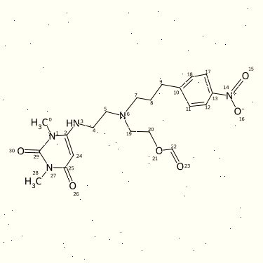 Cn1c(NCCN(CCCc2ccc([N+](=O)[O-])cc2)CCOC=O)cc(=O)n(C)c1=O